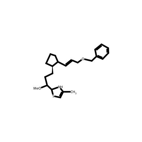 COC(CC[C@H]1CCCC1/C=C/COCc1ccccc1)C1NC(C)=CS1